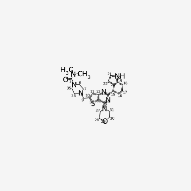 CN(C)C(=O)N1CCN(Cc2cc3nc(-c4cccc5[nH]ccc45)nc(N4CCOCC4)c3s2)CC1